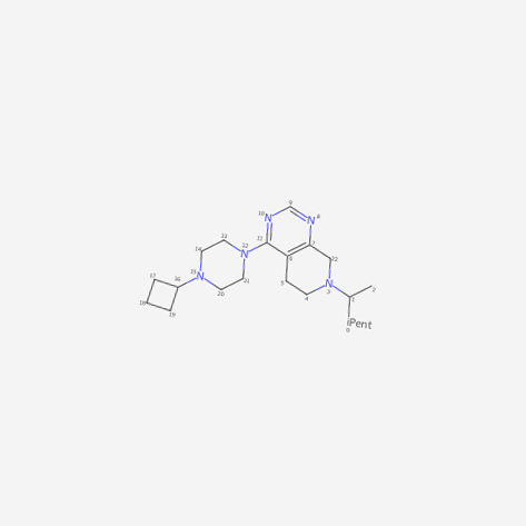 CCCC(C)C(C)N1CCc2c(ncnc2N2CCN(C3CCC3)CC2)C1